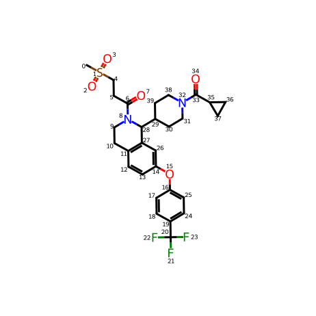 CS(=O)(=O)CCC(=O)N1CCc2ccc(Oc3ccc(C(F)(F)F)cc3)cc2C1C1CCN(C(=O)C2CC2)CC1